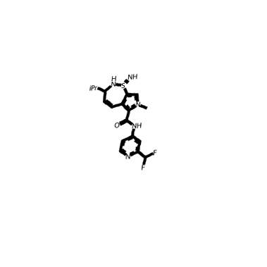 CC(C)C1C=Cc2c(cn(C)c2C(=O)Nc2ccnc(C(F)F)c2)S(=N)N1